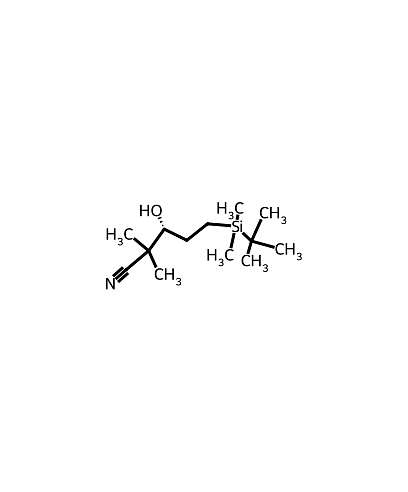 CC(C)(C#N)[C@H](O)CC[Si](C)(C)C(C)(C)C